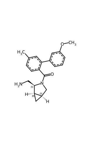 COc1cccc(-c2cc(C)ccc2C(=O)N2C[C@H]3C[C@H]3[C@H]2CN)c1